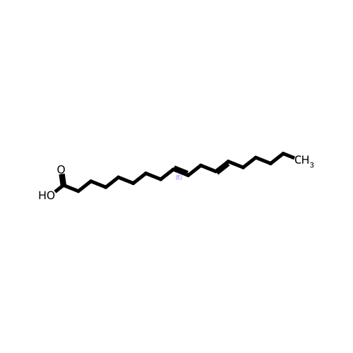 CCCCCC=CC/C=C/CCCCCCCC(=O)O